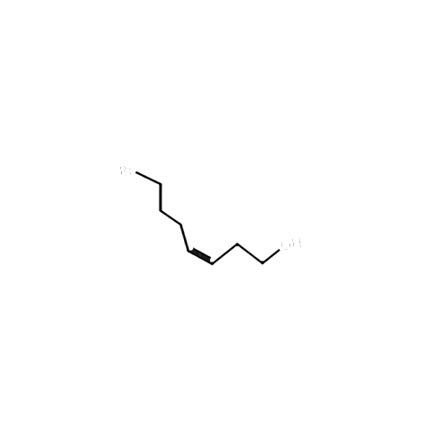 OCC/C=C\CCCBr